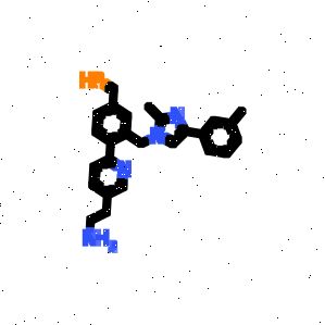 Cc1cccc(-c2cn(Cc3cc(C=P)ccc3-c3ccc(CCN)cn3)c(C)n2)c1